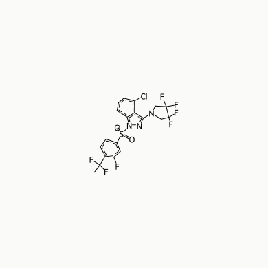 CC(F)(F)c1ccc(S(=O)(=O)n2nc(N3CC(F)(F)C(F)(F)C3)c3c(Cl)cccc32)cc1F